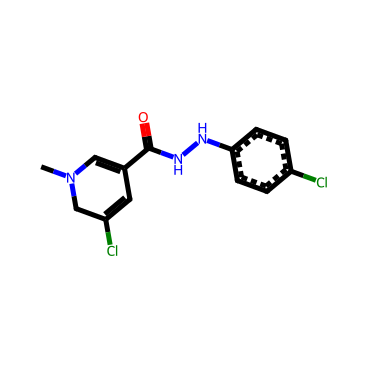 CN1C=C(C(=O)NNc2ccc(Cl)cc2)C=C(Cl)C1